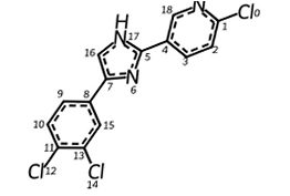 Clc1ccc(-c2nc(-c3ccc(Cl)c(Cl)c3)c[nH]2)cn1